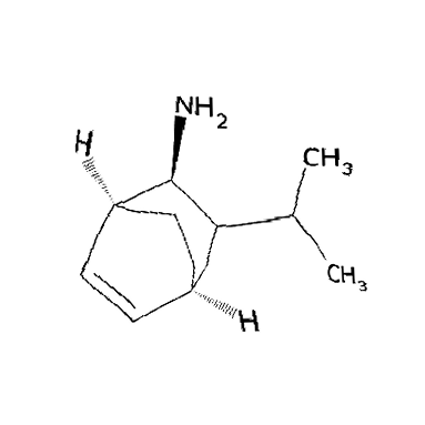 CC(C)C1[C@H]2C=C[C@H](C2)[C@H]1N